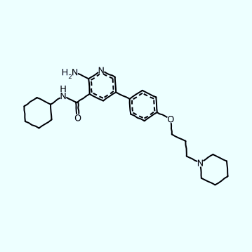 Nc1ncc(-c2ccc(OCCCN3CCCCC3)cc2)cc1C(=O)NC1CCCCC1